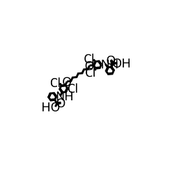 O=C(O)c1ccccc1Nc1cc(Cl)c(OCCCCCCCOc2c(Cl)cc(Nc3ccccc3C(=O)O)cc2Cl)c(Cl)c1